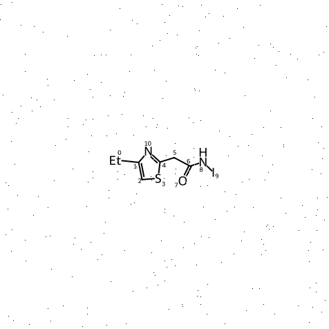 CCc1csc(CC(=O)NI)n1